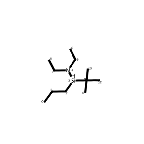 CCC[SiH](N(CC)CC)C(C)(C)C